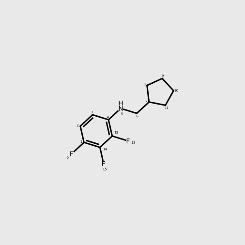 Fc1ccc(NCC2CCCC2)c(F)c1F